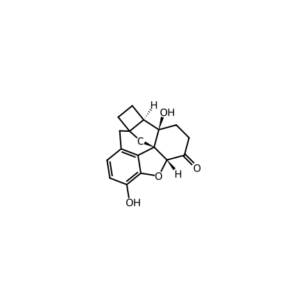 O=C1CC[C@@]2(O)[C@@H]3CCC34Cc3ccc(O)c5c3[C@@]2(C4)[C@H]1O5